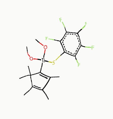 C[O][Ti]([O]C)([S]c1c(F)c(F)c(F)c(F)c1F)[C]1=C(C)C(C)=C(C)C1(C)C